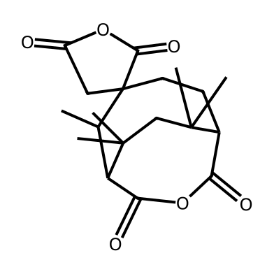 CC1C2C(=O)OC(=O)C(CCC13CC(=O)OC3=O)C(C)(C)CC2(C)C